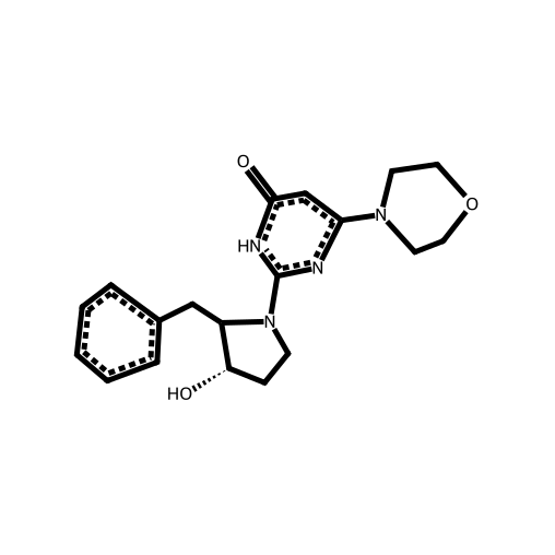 O=c1cc(N2CCOCC2)nc(N2CC[C@H](O)C2Cc2ccccc2)[nH]1